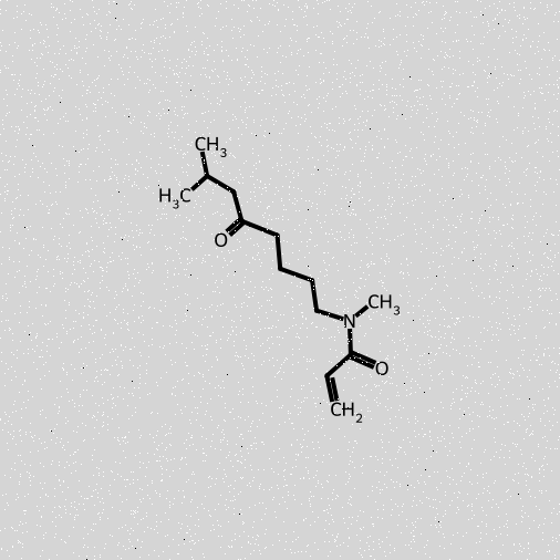 C=CC(=O)N(C)CCCCC(=O)CC(C)C